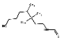 CC(CCCO)C(C)(C)CCNC=O